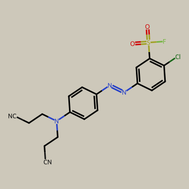 N#CCCN(CCC#N)c1ccc(N=Nc2ccc(Cl)c(S(=O)(=O)F)c2)cc1